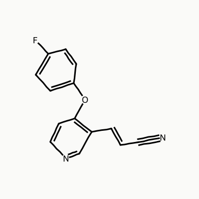 N#CC=Cc1cnccc1Oc1ccc(F)cc1